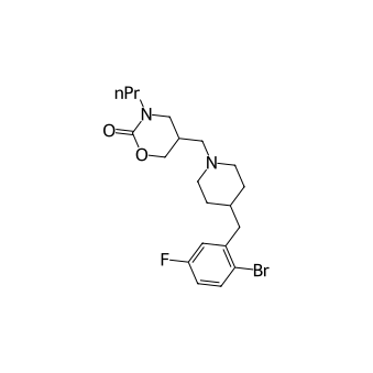 CCCN1CC(CN2CCC(Cc3cc(F)ccc3Br)CC2)COC1=O